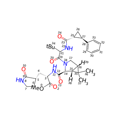 COC(=O)[C@H](C[C@@H]1CCNC1=O)NC(=O)[C@@H]1[C@@H]2[C@H](CN1C(=O)C(NC(=O)[C@@H]1C[C@H]1c1ccccc1)C(C)(C)C)C2(C)C